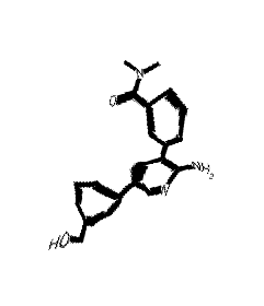 CN(C)C(=O)c1cccc(-c2cc(-c3cccc(CO)c3)cnc2N)c1